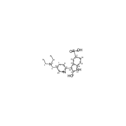 CCN(CC)Cc1ccc(-c2c(O)[nH]c3ccc(C(=O)O)cc23)nc1